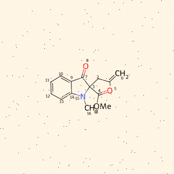 C=CCC1(C(=O)OC)C(=O)c2ccccc2N1C